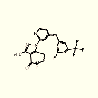 Cc1nn(-c2cc(Cc3cc(F)cc(C(F)(F)F)c3)ccn2)c2c1C(=O)NCC2